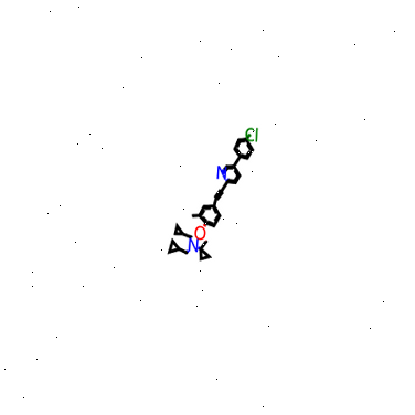 Cc1cc(C#Cc2ccc(-c3ccc(Cl)cc3)cn2)ccc1OCC1(N(CC2CC2)CC2CC2)CC1